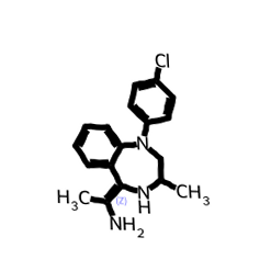 C/C(N)=C1/NC(C)CN(c2ccc(Cl)cc2)c2ccccc21